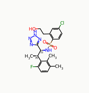 Cc1ccc(F)c([C@@H](C)[C@H](NS(=O)(=O)c2ccc(Cl)cc2CCO)c2nn[nH]n2)c1C